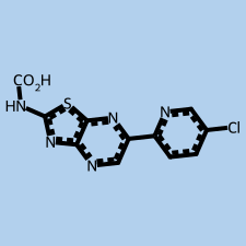 O=C(O)Nc1nc2ncc(-c3ccc(Cl)cn3)nc2s1